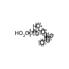 O=C(N[C@@H]1CC[C@@H](C(=O)O)C1)C(c1ccc(CN2N=C(c3ccccc3)OCC2=O)cc1)C1CCCC1